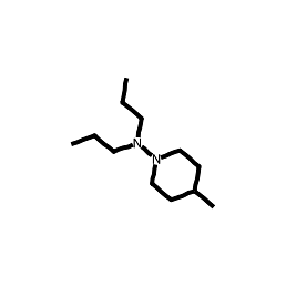 CCCN(CCC)N1CCC(C)CC1